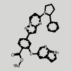 CC(C)(C)OC(=O)c1ccc(-c2cc3nc(N4CCCC4c4ccccc4)ccn3n2)cc1Oc1cnc2[nH]ccc2c1